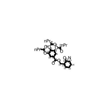 CCCC(=O)Oc1cc(C(=O)OCc2ccccc2[N+](=O)[O-])cc(OC(=O)CCC)c1OC(=O)CCC